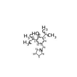 CC(C)c1cc(CN2CCCC2)cc(C(C)C)c1O